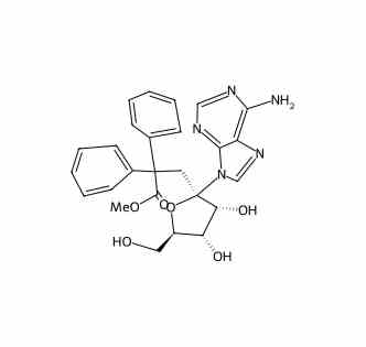 COC(=O)C(C[C@@]1(n2cnc3c(N)ncnc32)O[C@H](CO)[C@@H](O)[C@H]1O)(c1ccccc1)c1ccccc1